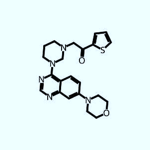 O=C(CN1CCCN(c2ncnc3cc(N4CCOCC4)ccc23)C1)c1cccs1